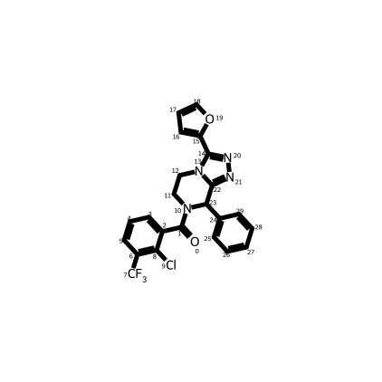 O=C(c1cccc(C(F)(F)F)c1Cl)N1CCn2c(-c3ccco3)nnc2C1c1ccccc1